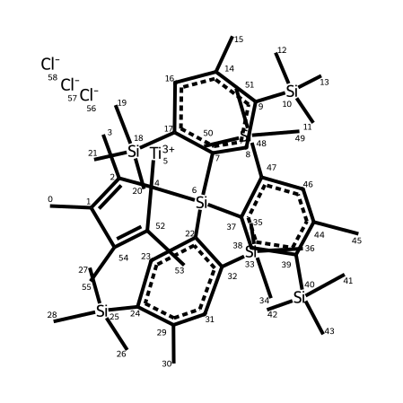 CC1=C(C)[C]([Ti+3])([Si](c2cc([Si](C)(C)C)c(C)cc2[Si](C)(C)C)(c2cc([Si](C)(C)C)c(C)cc2[Si](C)(C)C)c2cc([Si](C)(C)C)c(C)cc2[Si](C)(C)C)C(C)=C1C.[Cl-].[Cl-].[Cl-]